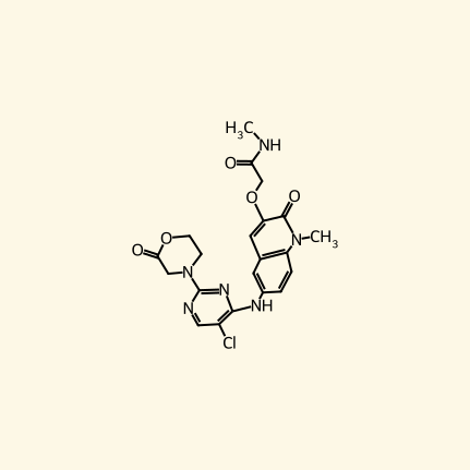 CNC(=O)COc1cc2cc(Nc3nc(N4CCOC(=O)C4)ncc3Cl)ccc2n(C)c1=O